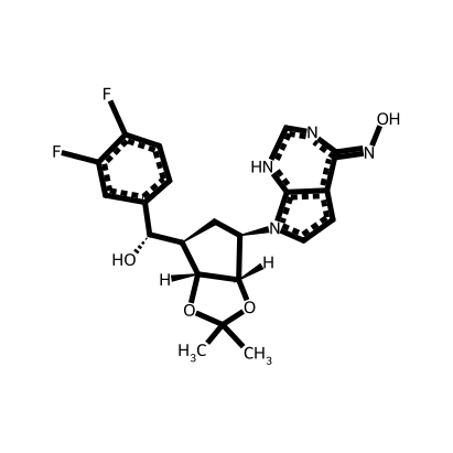 CC1(C)O[C@@H]2[C@@H]([C@H](O)c3ccc(F)c(F)c3)C[C@@H](n3ccc4/c(=N/O)nc[nH]c43)[C@@H]2O1